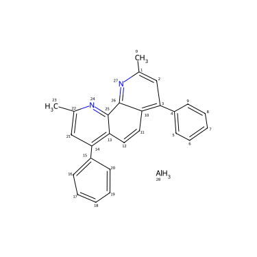 Cc1cc(-c2ccccc2)c2ccc3c(-c4ccccc4)cc(C)nc3c2n1.[AlH3]